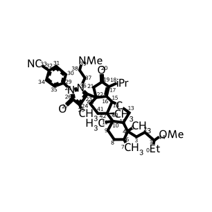 CCC(CCC1(C)C(C)CCC2(C)C1CCC1C3=C(C(C)C)C(=O)CC3(c3c(C)c(=O)n(-c4ccc(C#N)cc4)n3CCNC)CC[C@]12C)OC